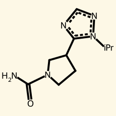 CC(C)n1ncnc1C1CCN(C(N)=O)C1